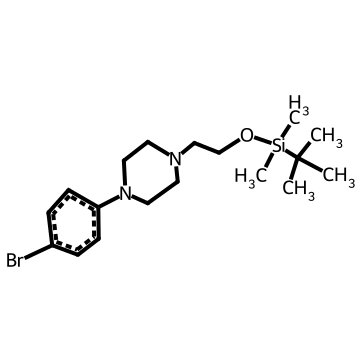 CC(C)(C)[Si](C)(C)OCCN1CCN(c2ccc(Br)cc2)CC1